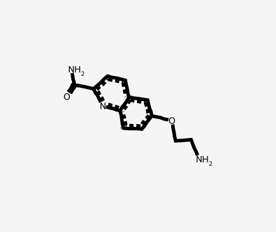 NCCOc1c[c]c2nc(C(N)=O)ccc2c1